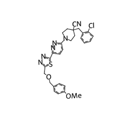 COc1ccc(COCc2nnc(-c3ccc(N4CCC(C#N)(Cc5ccccc5Cl)CC4)nn3)s2)cc1